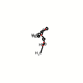 CCCCCCCCNC(=O)C=Cc1ccc(C=C[C@@H]2Cc3cc(OCc4ccccc4)ccc3C3CC[C@@]4(C)C(CC[C@@H]4O)C32)cc1